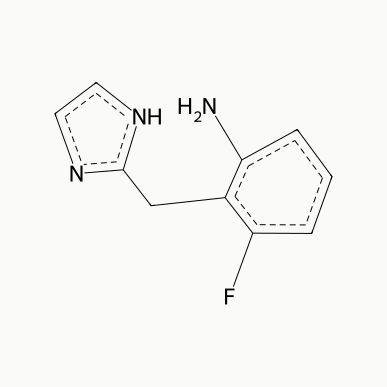 Nc1cccc(F)c1Cc1ncc[nH]1